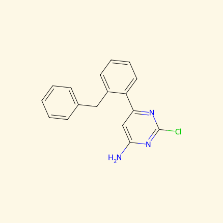 Nc1cc(-c2ccccc2Cc2ccccc2)nc(Cl)n1